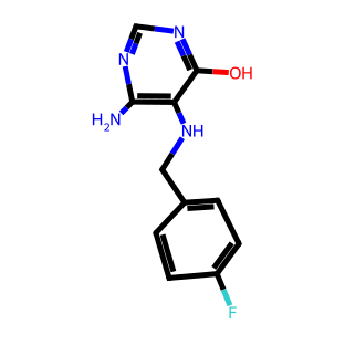 Nc1ncnc(O)c1NCc1ccc(F)cc1